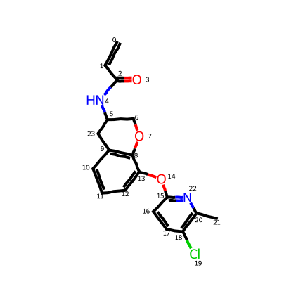 C=CC(=O)NC1COc2c(cccc2Oc2ccc(Cl)c(C)n2)C1